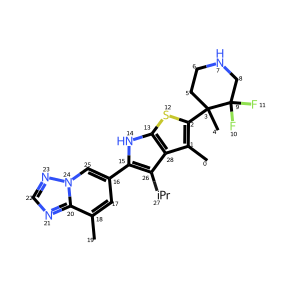 Cc1c(C2(C)CCNCC2(F)F)sc2[nH]c(-c3cc(C)c4ncnn4c3)c(C(C)C)c12